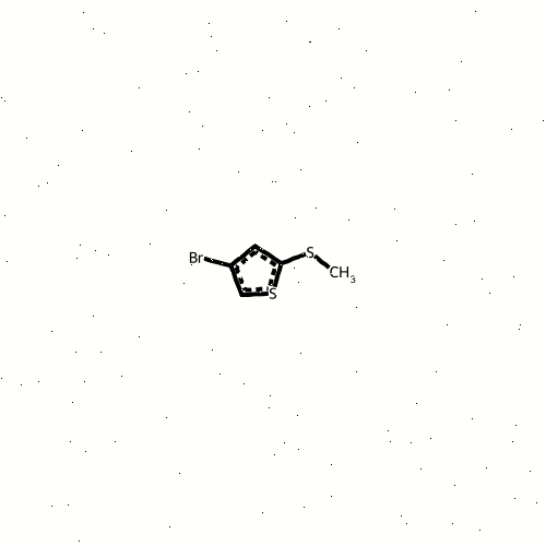 CSc1cc(Br)cs1